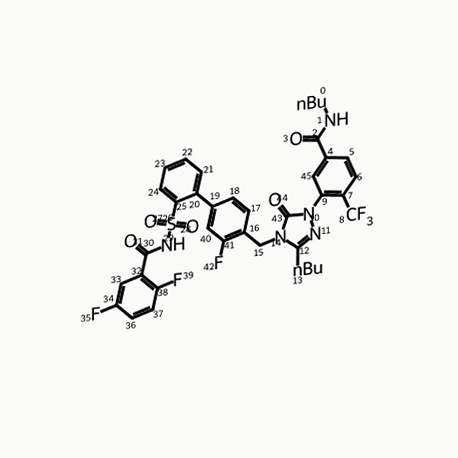 CCCCNC(=O)c1ccc(C(F)(F)F)c(-n2nc(CCCC)n(Cc3ccc(-c4ccccc4S(=O)(=O)NC(=O)c4cc(F)ccc4F)cc3F)c2=O)c1